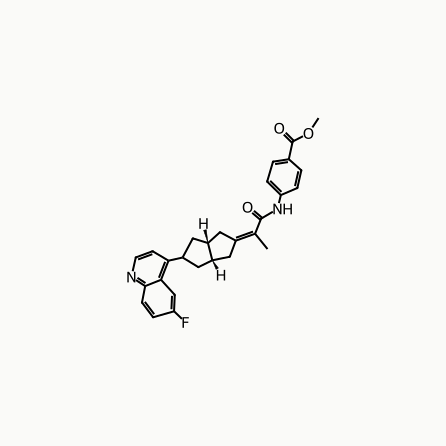 COC(=O)c1ccc(NC(=O)/C(C)=C2/C[C@@H]3CC(c4ccnc5ccc(F)cc45)C[C@@H]3C2)cc1